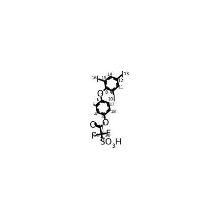 O=C(Oc1ccc(Oc2c(I)cc(I)cc2I)cc1)C(F)(F)S(=O)(=O)O